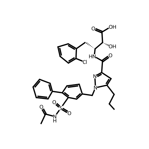 CCCc1cc(C(=O)N[C@H](Cc2ccccc2Cl)[C@@H](O)C(=O)O)nn1Cc1ccc(-c2ccccc2)c(S(=O)(=O)NC(C)=O)c1